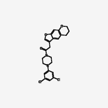 O=C(Cc1coc2cc3c(cc12)CCCO3)N1CCN(c2cc(Cl)cc(Cl)c2)CC1